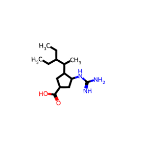 CCC(CC)C(C)C1CC(C(=O)O)CC1NC(=N)N